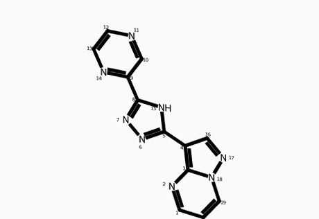 c1cnc2c(-c3nnc(-c4cnccn4)[nH]3)cnn2c1